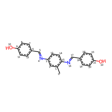 Cc1cc(N=Cc2ccc(O)cc2)ccc1N=Cc1ccc(O)cc1